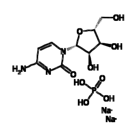 Nc1ccn([C@@H]2O[C@H](CO)[C@@H](O)[C@H]2O)c(=O)n1.O=P(O)(O)O.[Na].[Na]